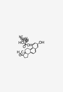 C[C@]12CCc3c(ccc4cc(O)ccc34)C1CCC2=O.O=S(=O)(O)O.[H+].[NaH].[NaH]